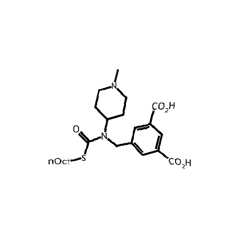 CCCCCCCCSC(=O)N(Cc1cc(C(=O)O)cc(C(=O)O)c1)C1CCN(C)CC1